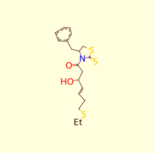 CCSCC/C=C/C(O)CC(=O)N1C(=S)SCC1Cc1ccccc1